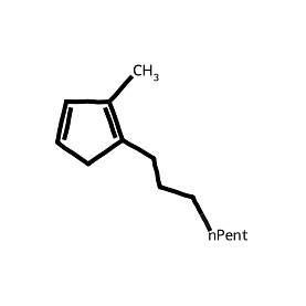 CCCCCCCCC1=C(C)C=CC1